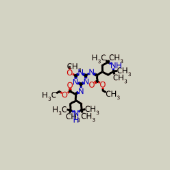 CCOC(=O)C(=Nc1nc(N=C(C(=O)OCC)C2CC(C)(C)NC(C)(C)C2)nc(OC)n1)C1CC(C)(C)NC(C)(C)C1